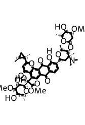 COC(=O)C(O)(c1cc2c(c3oc([C@]4(C)C[C@@H]4C)cc(=O)c13)C(=O)c1c(ccc([C@H]3C[C@](C)(N(C)C)[C@H](O[C@@H]4C[C@H](OC)[C@H](O)[C@@H](C)O4)[C@H](C)O3)c1O)C2=O)[C@H]1O[C@H](C)[C@@H](O)[C@@H](OC)[C@@H]1O